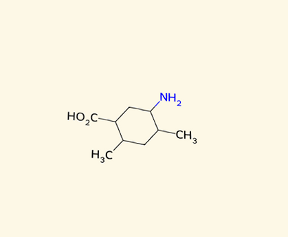 CC1CC(C)C(C(=O)O)CC1N